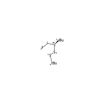 CCC(C)[C@H](CF)SSC(C)(C)C